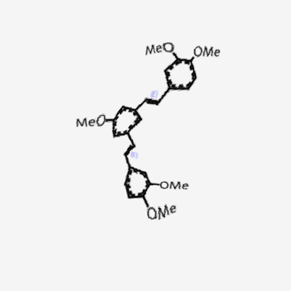 COc1cc(/C=C/c2ccc(OC)c(OC)c2)cc(/C=C/c2ccc(OC)c(OC)c2)c1